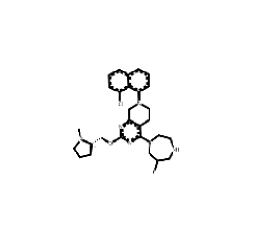 CN1CCC[C@H]1COc1nc2c(c(N3CCNCC(F)C3)n1)CCN(c1cccc3cccc(Cl)c13)C2